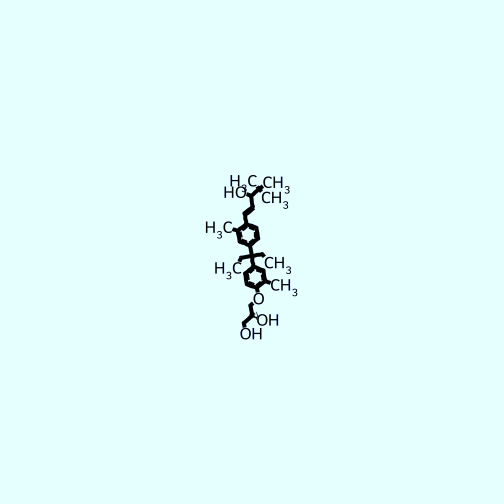 CCC(CC)(c1ccc(C=CC(O)C(C)(C)C)c(C)c1)c1ccc(OC[C@H](O)CO)c(C)c1